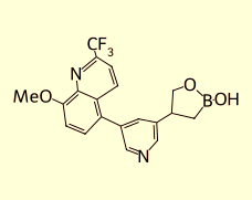 COc1ccc(-c2cncc(C3COB(O)C3)c2)c2ccc(C(F)(F)F)nc12